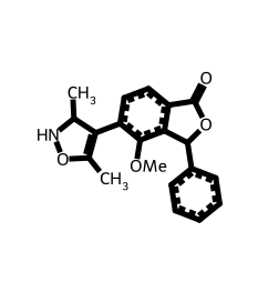 COc1c(C2=C(C)ONC2C)ccc2c1C(c1ccccc1)OC2=O